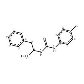 Cc1ccc(NC(=O)NC(Cc2ccccc2)C(=O)O)cc1